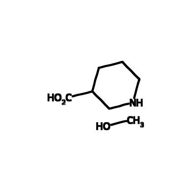 CO.O=C(O)C1CCCNC1